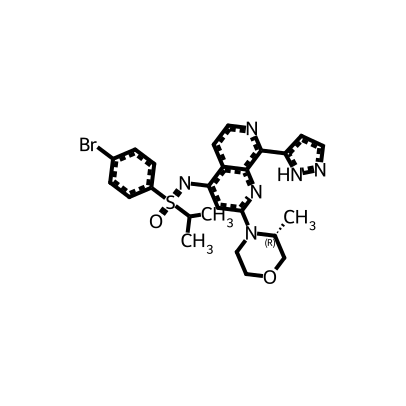 CC(C)S(=O)(=Nc1cc(N2CCOC[C@H]2C)nc2c(-c3ccn[nH]3)nccc12)c1ccc(Br)cc1